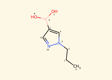 CCCn1cc(B(O)O)cn1